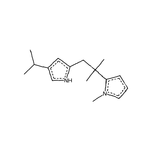 CC(C)c1c[nH]c(CC(C)(C)c2cccn2C)c1